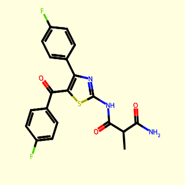 C[C](C(N)=O)C(=O)Nc1nc(-c2ccc(F)cc2)c(C(=O)c2ccc(F)cc2)s1